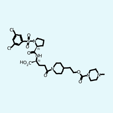 CN1CCN(C(=O)OCCC2CCN(C(=O)CC[C@H](NC(=O)[C@@H]3CCCN3S(=O)(=O)c3cc(Cl)cc(Cl)c3)C(=O)O)CC2)CC1